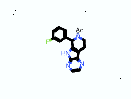 CC(=O)N1CCc2c([nH]c3nccnc23)C1c1cccc(F)c1